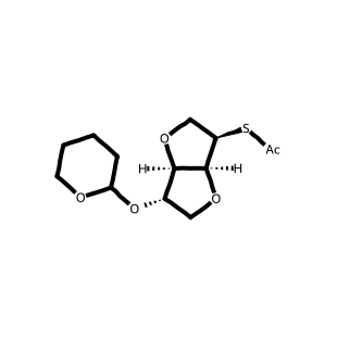 CC(=O)S[C@@H]1CO[C@H]2[C@@H]1OC[C@@H]2OC1CCCCO1